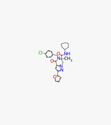 CC1(C(=O)NC2CCCCC2)Cn2nc(-c3ccco3)cc2C(=O)N1Cc1ccc(Cl)cc1